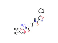 CC(C)(C)OC(=O)N(N)C(=O)C1CC(NC(=O)c2cc(-c3ccccc3)on2)C1